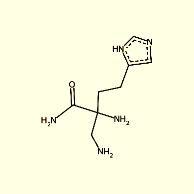 NCC(N)(CCc1cnc[nH]1)C(N)=O